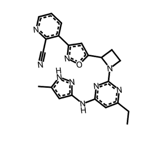 CCc1cc(Nc2cc(C)[nH]n2)nc(N2CCC2c2cc(-c3cccnc3C#N)no2)n1